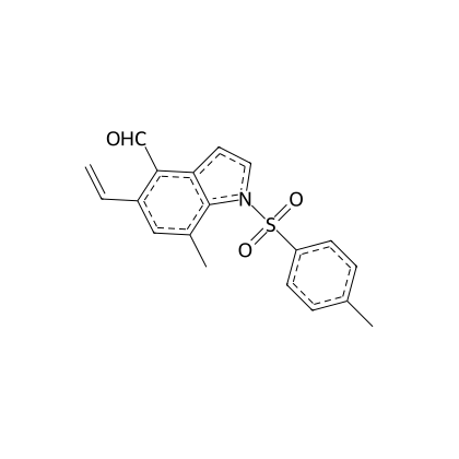 C=Cc1cc(C)c2c(ccn2S(=O)(=O)c2ccc(C)cc2)c1C=O